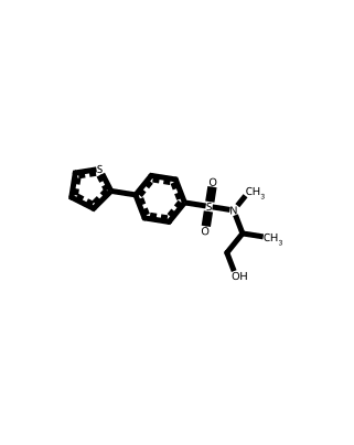 CC(CO)N(C)S(=O)(=O)c1ccc(-c2cccs2)cc1